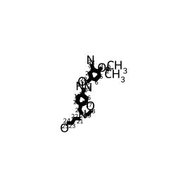 CC(C)Oc1ccc(-c2nc(-c3ccc4c(c3)OCCN(CCCC=O)C4)no2)cc1C#N